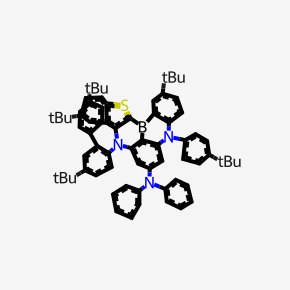 CC(C)(C)c1ccc(-c2cc(C(C)(C)C)ccc2N2c3cc(N(c4ccccc4)c4ccccc4)cc4c3B(c3cc(C(C)(C)C)ccc3N4c3ccc(C(C)(C)C)cc3)c3sc4ccc(C(C)(C)C)cc4c32)cc1